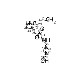 C=C/C=C\C=C(/C)C1C(=O)/C(=C/CNCCN2CCN(CCO)CC2)C(=O)CC1c1ccccc1